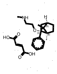 CNCCO[C@]1(c2ccccc2)C[C@H]2CC[C@]1(C)C2(C)C.O=C(O)C=CC(=O)O